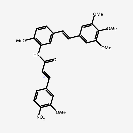 COc1ccc(C=Cc2cc(OC)c(OC)c(OC)c2)cc1NC(=O)/C=C/c1ccc([N+](=O)[O-])c(OC)c1